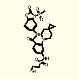 CS(=O)(=O)n1c(=O)oc2ccc(NC(=O)c3ccc(NS(=O)(=O)CCO)cc3N3CCC4(CC3)CC4)cc21